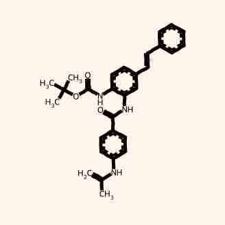 C=C(C)Nc1ccc(C(=O)Nc2cc(/C=C/c3ccccc3)ccc2NC(=O)OC(C)(C)C)cc1